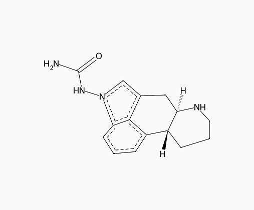 NC(=O)Nn1cc2c3c(cccc31)[C@H]1CCCN[C@@H]1C2